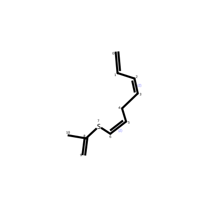 C=C/C=C\C/C=C\SC(=C)C